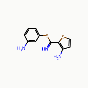 N=C(Sc1cccc(N)c1)c1sccc1N